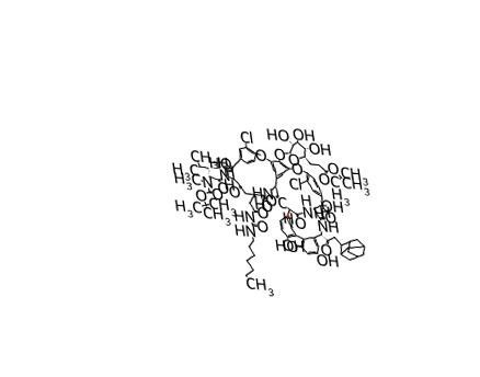 CCCCCCCNC(=O)NC(=O)C[C@@H]1CC(=O)[C@H](NC(=O)[C@@H](CC(C)C)N(C)C(=O)OC(C)(C)C)[C@H](O)c2ccc(c(Cl)c2)Oc2cc3cc(c2O[C@@H]2O[C@H](CCC(=O)OC(C)(C)C)[C@@H](O)[C@H](O)[C@H]2O)Oc2ccc(cc2Cl)[C@@H](O)[C@@H]2NC(=O)[C@H](CC(=O)C3NC1=O)c1ccc(O)c(c1)-c1c(O)cc(O)cc1[C@@H](C(=O)CC1C3CC4CC(C3)CC1C4)NC2=O